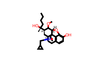 CCCC[C@@](C)(O)[C@@H]1C[C@]2(CC)C3Cc4ccc(O)c5c4C2(CCN3CC2CC2)[C@@H](O5)C1OC